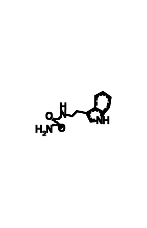 NS(=O)(=O)NCCc1c[nH]c2ccccc12